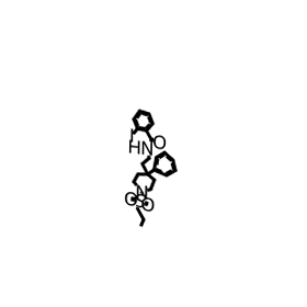 CCCS(=O)(=O)N1CCC(CCNC(=O)c2ccccc2I)(c2ccccc2)CC1